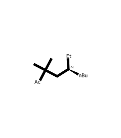 CCCC[C@H](CC)CC(C)(C)C(C)=O